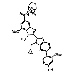 COc1cc(O)ccc1-c1ccc2cc(-c3nc4cc(C(=O)N5CC6CCC5[C@@H]6N)cc(OC)c4n3C)n(CC3CC3)c2n1